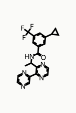 CC(NC(=O)c1cc(C2CC2)cc(C(F)(F)F)c1)c1nccnc1-c1cnccn1